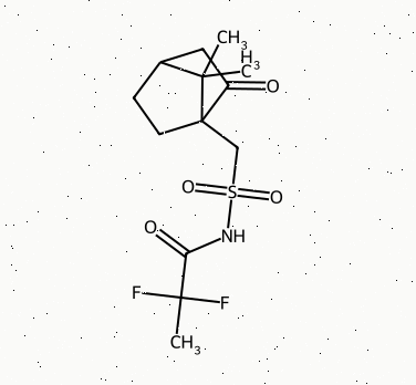 CC(F)(F)C(=O)NS(=O)(=O)CC12CCC(CC1=O)C2(C)C